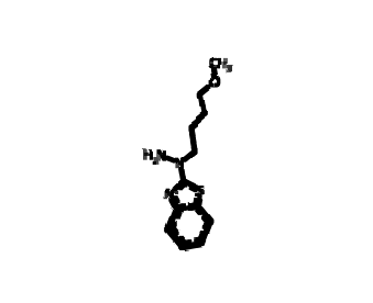 COCCCCN(N)c1nc2ccccc2s1